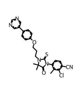 Cc1c(N2C(=O)C(C)(C)N(CCCOc3ccc(-c4cncnc4)cc3)C2=S)ccc(C#N)c1Cl